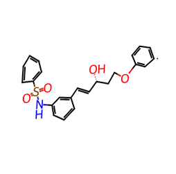 O=S(=O)(Nc1cccc(/C=C/[C@H](O)CCOc2c[c]ccc2)c1)c1ccccc1